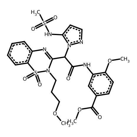 COCCCN1C(C(C(=O)Nc2cc(C(=O)OC)ccc2OC)n2nccc2NS(C)(=O)=O)=Nc2ccccc2S1(=O)=O